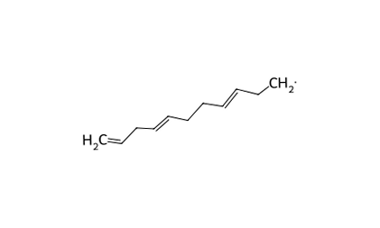 [CH2]CC=CCCC=CCC=C